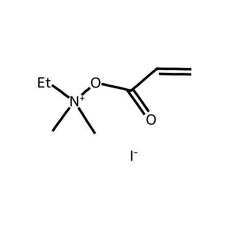 C=CC(=O)O[N+](C)(C)CC.[I-]